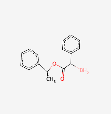 BC(C(=O)O[C@@H](C)c1ccccc1)c1ccccc1